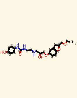 CCOCC1Cc2cc(OCC(O)CNCCNC(=O)Nc3ccc(O)cc3)ccc2O1